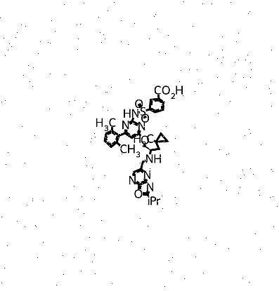 Cc1cccc(C)c1-c1cc(OC[C@@H](CC2(C)CC2)NCc2cnc3oc(C(C)C)nc3n2)nc(NS(=O)(=O)c2cccc(C(=O)O)c2)n1